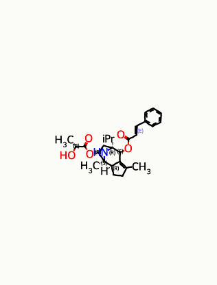 CC1=C2[C@@H](CC1)[C@]1(C)N[C@@](C(C)C)(C[C@H]1OC(=O)[C@@H](C)O)[C@H]2OC(=O)/C=C/c1ccccc1